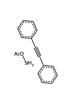 C(#Cc1ccccc1)c1ccccc1.CC(=O)O[SiH3]